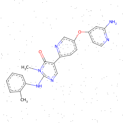 Cc1ccccc1Nc1ncc(-c2ccc(Oc3ccnc(N)c3)cn2)c(=O)n1C